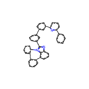 c1ccc(-c2cccc(-c3cccc(-c4cccc(-c5nc6cccc7c6n5-c5ccccc5-c5ccccc5-7)c4)c3)n2)cc1